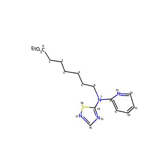 CCOC(=O)CCCCCCN(c1ccccn1)c1ncns1